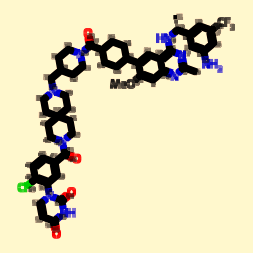 COc1cc2nc(C)nc(N[C@H](C)c3cc(N)cc(C(F)(F)F)c3)c2cc1C1CCC(C(=O)N2CCC(CN3CCC4(CC3)CCN(C(=O)c3ccc(Cl)c(-n5ccc(=O)[nH]c5=O)c3)CC4)CC2)CC1